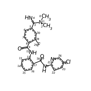 CN(C)C(=N)c1ccc(C(=O)Nc2ccccc2C(=O)Nc2ccc(Cl)cn2)c(F)c1